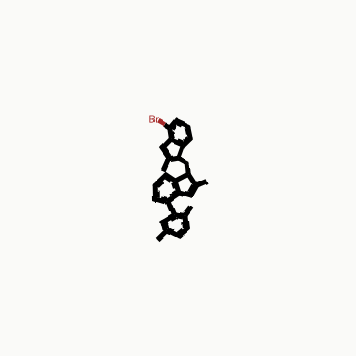 CC1=Cc2c(Br)cccc2C1CC1C(C)=Cc2c(-c3cc(C)ccc3C)cccc21